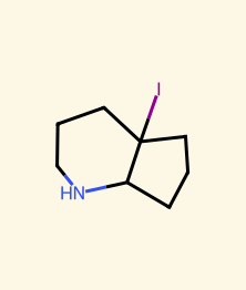 IC12CCCNC1CCC2